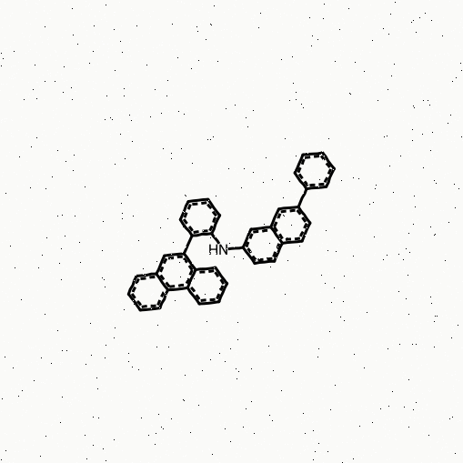 c1ccc(-c2ccc3ccc(Nc4ccccc4-c4cc5ccccc5c5ccccc45)cc3c2)cc1